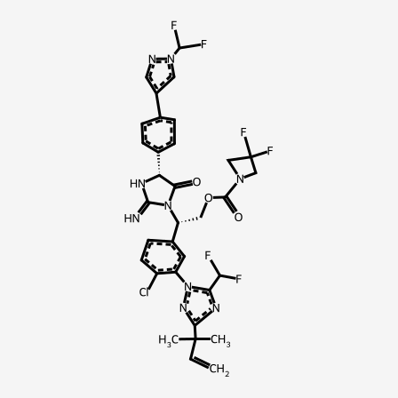 C=CC(C)(C)c1nc(C(F)F)n(-c2cc([C@@H](COC(=O)N3CC(F)(F)C3)N3C(=N)N[C@H](c4ccc(-c5cnn(C(F)F)c5)cc4)C3=O)ccc2Cl)n1